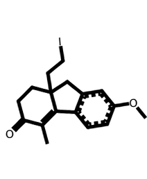 COc1ccc2c(c1)CC1(CCI)CCC(=O)C(C)=C21